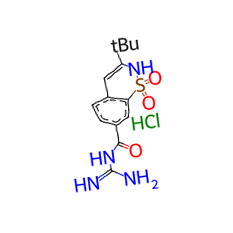 CC(C)(C)C1=Cc2ccc(C(=O)NC(=N)N)cc2S(=O)(=O)N1.Cl